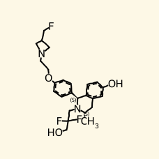 C[C@H]1Cc2cc(O)ccc2[C@H](c2ccc(OCCN3CC(CF)C3)cc2)N1CC(F)(F)CO